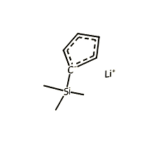 C[Si](C)(C)[c-]1cccc1.[Li+]